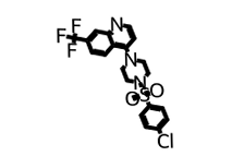 O=S(=O)(c1ccc(Cl)cc1)N1CCN(c2ccnc3cc(C(F)(F)F)ccc23)CC1